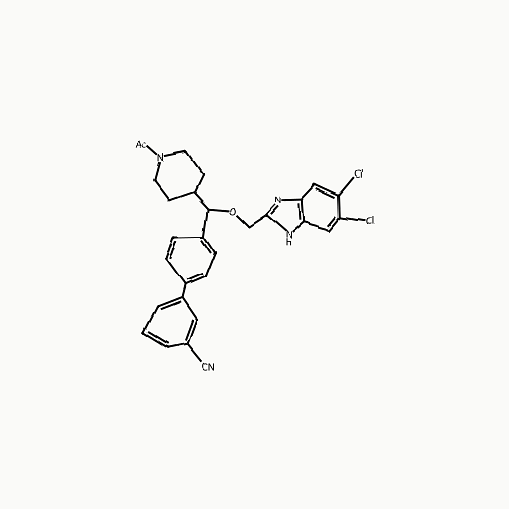 CC(=O)N1CCC(C(OCc2nc3cc(Cl)c(Cl)cc3[nH]2)c2ccc(-c3cccc(C#N)c3)cc2)CC1